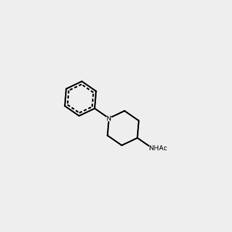 CC(=O)NC1CCN(c2ccccc2)CC1